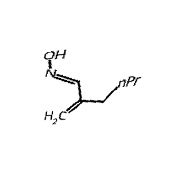 C=C(C=NO)CCCC